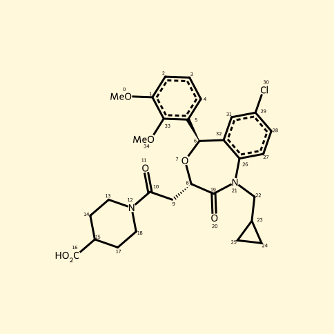 COc1cccc([C@@H]2O[C@@H](CC(=O)N3CCC(C(=O)O)CC3)C(=O)N(CC3CC3)c3ccc(Cl)cc32)c1OC